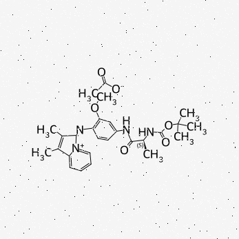 CC(=O)[O-].COc1cc(NC(=O)[C@H](C)NC(=O)OC(C)(C)C)ccc1N=C1C(C)=C(C)c2cccc[n+]21